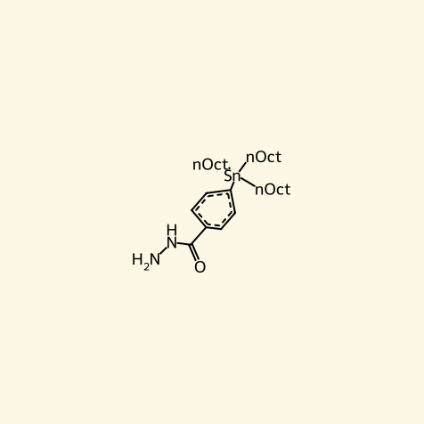 CCCCCCC[CH2][Sn]([CH2]CCCCCCC)([CH2]CCCCCCC)[c]1ccc(C(=O)NN)cc1